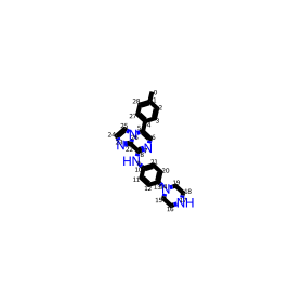 Cc1ccc(-c2cnc(Nc3ccc(N4CCNCC4)cc3)c3nccn23)cc1